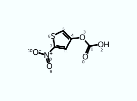 O=C(O)Oc1csc([N+](=O)[O-])c1